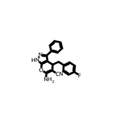 N#CC1=C(N)Oc2[nH]nc(-c3ccccc3)c2C1Cc1ccc(F)cc1